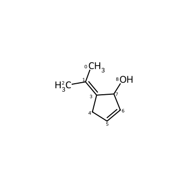 CC(C)=C1CC=CC1O